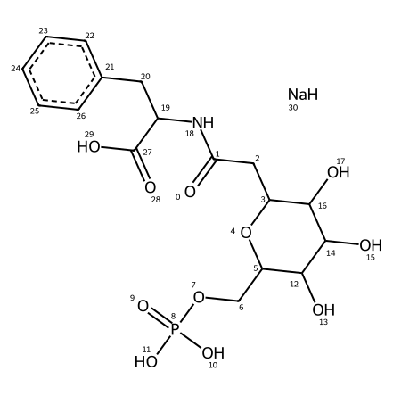 O=C(CC1OC(COP(=O)(O)O)C(O)C(O)C1O)NC(Cc1ccccc1)C(=O)O.[NaH]